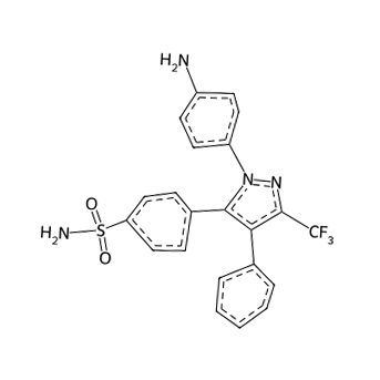 Nc1ccc(-n2nc(C(F)(F)F)c(-c3ccccc3)c2-c2ccc(S(N)(=O)=O)cc2)cc1